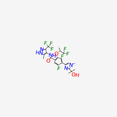 Cc1[nH]nc(C(F)(F)F)c1NC(=O)c1cc(F)c(-c2cn(C)c(C(C)(C)O)n2)cc1OC(C)C(F)(F)F